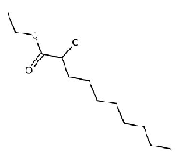 CCCCCCCCC(Cl)C(=O)OCC